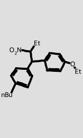 CCCCc1ccc(C(c2ccc(OCC)cc2)C(CC)[N+](=O)[O-])cc1